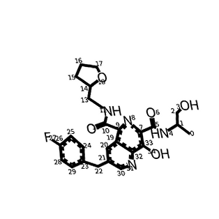 CC(CO)NC(=O)c1nc(C(=O)NCC2CCCO2)c2cc(Cc3ccc(F)cc3)cnc2c1O